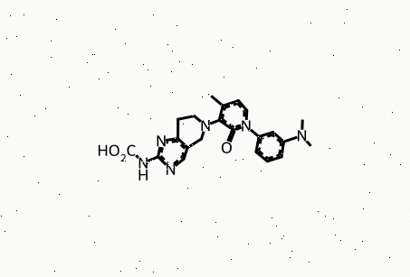 Cc1ccn(-c2cccc(N(C)C)c2)c(=O)c1N1CCc2nc(NC(=O)O)ncc2C1